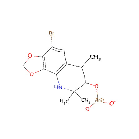 CC1c2cc(Br)c3c(c2NC(C)(C)C1O[Br+2]([O-])[O-])OCO3